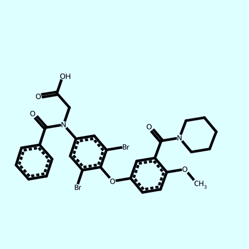 COc1ccc(Oc2c(Br)cc(N(CC(=O)O)C(=O)c3ccccc3)cc2Br)cc1C(=O)N1CCCCC1